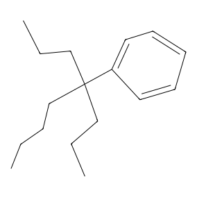 CCCCC(CCC)(CCC)c1ccccc1